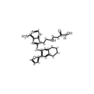 Nc1ncnc2c1nc(Sc1cc3c(cc1-c1ccco1)CCCC3)n2CCNCCC(=O)NO